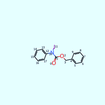 O=C(OCc1ccccc1)N(I)c1ccccc1